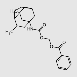 CC1CC2(NC(=O)OCOC(=O)c3ccccc3)CC3CCC1C(C)(C3)C2